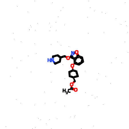 CC(=O)OC[C@H]1CC[C@@H](Oc2cccc3onc(OCC4CCNCC4)c23)CC1